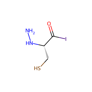 NN[C@@H](CS)C(=O)I